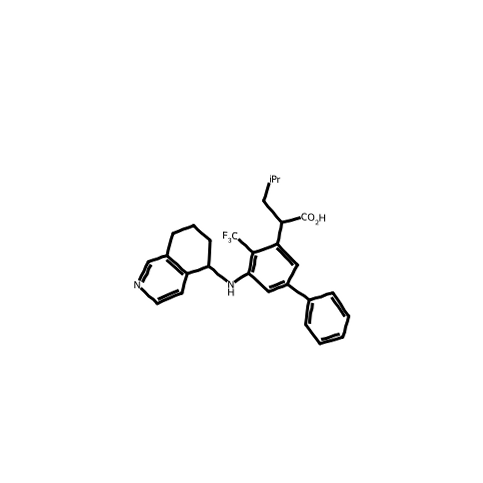 CC(C)CC(C(=O)O)c1cc(-c2ccccc2)cc(NC2CCCc3cnccc32)c1C(F)(F)F